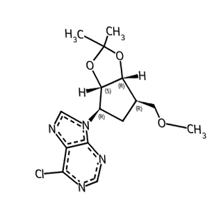 COC[C@H]1C[C@@H](n2cnc3c(Cl)ncnc32)[C@@H]2OC(C)(C)O[C@H]12